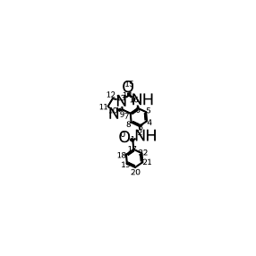 O=C(Nc1ccc2c(c1)C1=NCCN1C(=O)N2)c1ccccc1